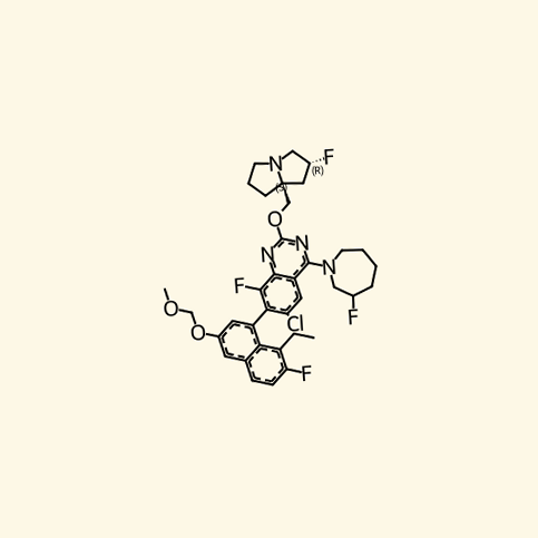 CCc1c(F)ccc2cc(OCOC)cc(-c3c(Cl)cc4c(N5CCCCC(F)C5)nc(OC[C@@]56CCCN5C[C@H](F)C6)nc4c3F)c12